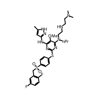 CCCN(CCNCCN(C)C)c1nc(Sc2ccc(S(=O)(=O)Cc3cc(F)ccc3F)cc2)nc(Nc2cc(C)[nH]n2)c1OC